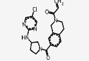 C=CC(=O)N1CCc2ccc(C(=O)N3CCC(Nc4ncc(Cl)cn4)C3)cc2C1